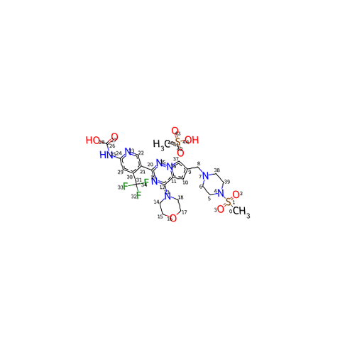 CS(=O)(=O)N1CCN(Cc2cc3c(N4CCOCC4)nc(-c4cnc(NC(=O)O)cc4C(F)(F)F)nn3c2)CC1.CS(=O)(=O)O